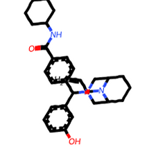 C=CCN1C2CCCC1CN(C(c1ccc(C(=O)NC3CCCCC3)cc1)c1cccc(O)c1)C2